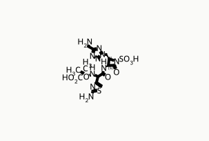 CC(C)(ONC(C(=O)N[C@@H]1C(=O)N(S(=O)(=O)O)[C@@H]1Cn1nnc(CN)n1)c1csc(N)n1)C(=O)O